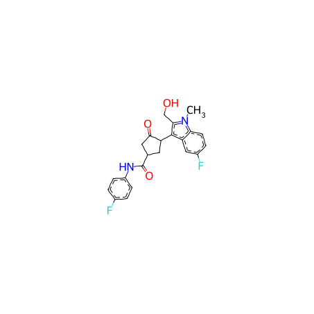 Cn1c(CO)c(C2CC(C(=O)Nc3ccc(F)cc3)CC2=O)c2cc(F)ccc21